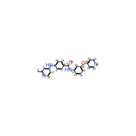 Cc1cc(Nc2ccc(C(=O)Nc3cccc(Oc4ccncc4)c3)cc2)ccn1